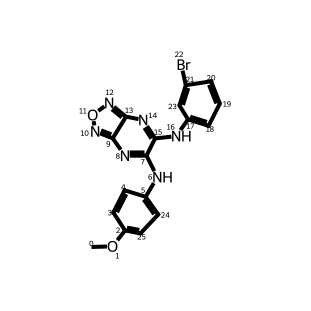 COc1ccc(Nc2nc3nonc3nc2Nc2cccc(Br)c2)cc1